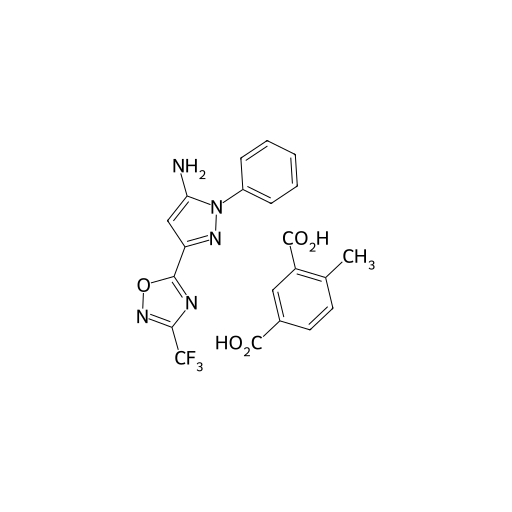 Cc1ccc(C(=O)O)cc1C(=O)O.Nc1cc(-c2nc(C(F)(F)F)no2)nn1-c1ccccc1